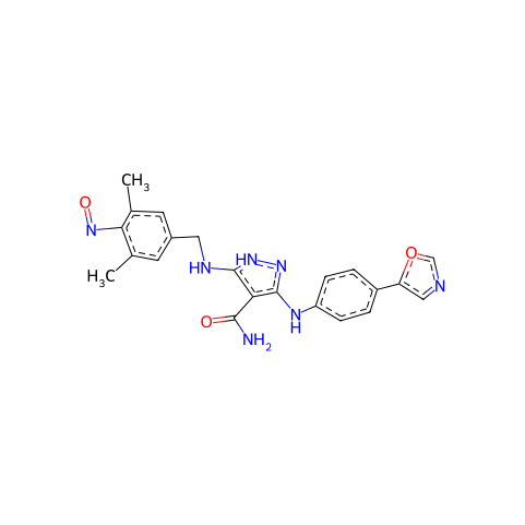 Cc1cc(CNc2[nH]nc(Nc3ccc(-c4cnco4)cc3)c2C(N)=O)cc(C)c1N=O